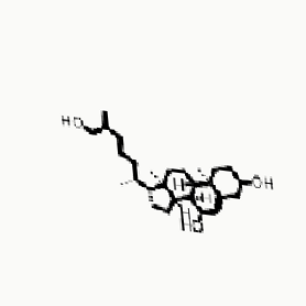 CC(CO)CCC[C@@H](C)[C@H]1CC[C@H]2[C@@H]3[C@H](O)C=C4CC(O)CC[C@]4(C)[C@H]3CC[C@]12C